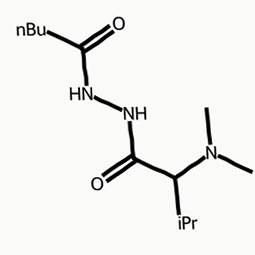 CCCCC(=O)NNC(=O)C(C(C)C)N(C)C